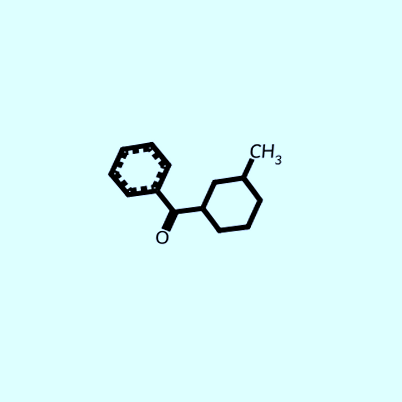 CC1CCCC(C(=O)c2ccccc2)C1